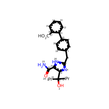 CC(C)C(O)(c1nc(Cc2ccc(-c3ccccc3C(=O)O)cc2)[nH]c1C(N)=O)C(C)C